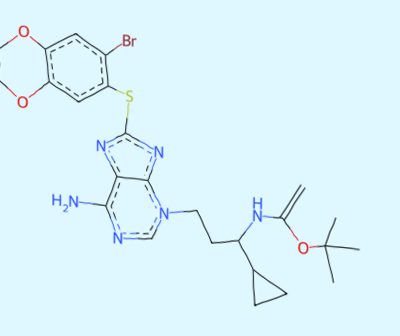 C=C(NC(CCn1cnc(N)c2nc(Sc3cc4c(cc3Br)OCCO4)nc1-2)C1CC1)OC(C)(C)C